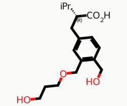 CC(C)[C@@H](Cc1ccc(CO)c(COCCCO)c1)C(=O)O